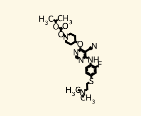 CC(C)OC(=O)ON1CCC(Oc2ncnc(Nc3ccc(SCCN(C)C)cc3F)c2C#N)CC1